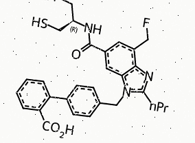 CCCc1nc2c(CF)cc(C(=O)N[C@@H](CS)CC(C)C)cc2n1Cc1ccc(-c2ccccc2C(=O)O)cc1